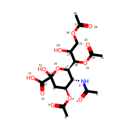 CC(=O)N[C@@H]1[C@@H](OC(C)=O)CC(O)(C(=O)O)O[C@H]1C(OC(C)=O)C(O)COC(C)=O